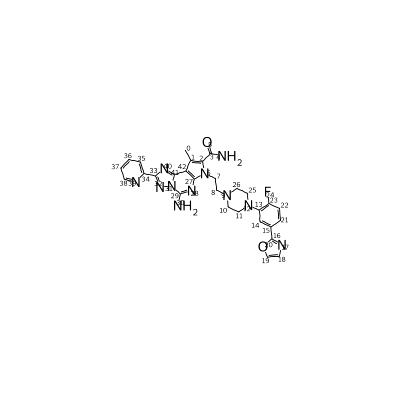 Cc1c(C(N)=O)n(CCN2CCN(c3cc(-c4ncco4)ccc3F)CC2)c2nc(N)n3nc(-c4ccccn4)nc3c12